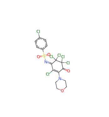 O=C1C(N2CCOCC2)=C(Cl)/C(=N/S(=O)(=O)c2ccc(Cl)cc2)C(Cl)(Cl)C1(Cl)Cl